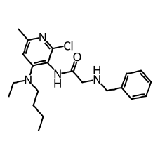 CCCCN(CC)c1cc(C)nc(Cl)c1NC(=O)CNCc1ccccc1